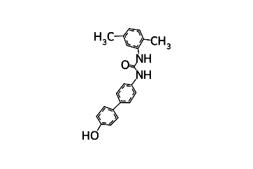 Cc1ccc(C)c(NC(=O)Nc2ccc(-c3ccc(O)cc3)cc2)c1